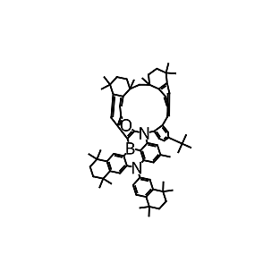 Cc1cc2c3c(c1)N1c4ccc(C(C)(C)C)cc4-c4ccc5c(c4)C(C)(C)CCC5(C)CC4(C)CCC(C)(C)c5cc6c(c1oc6cc54)B3c1cc3c(cc1N2c1ccc2c(c1)C(C)(C)CCC2(C)C)C(C)(C)CCC3(C)C